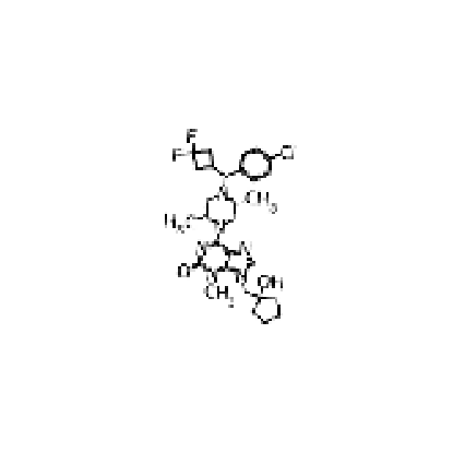 C[C@@H]1CN(c2nc(=O)n(C)c3c2ncn3CC2(O)CCCC2)[C@@H](C)CN1C(c1ccc(Cl)cc1)C1CC(F)(F)C1